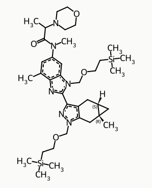 Cc1cc(N(C)C(=O)C(C)N2CCOCC2)cc2c1nc(-c1nn(COCC[Si](C)(C)C)c3c1C[C@@H]1C[C@]1(C)C3)n2COCC[Si](C)(C)C